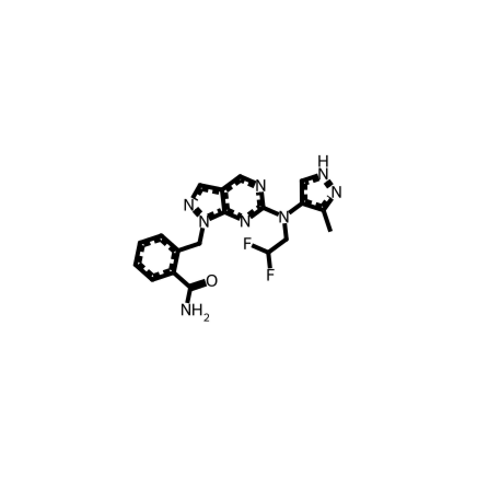 Cc1n[nH]cc1N(CC(F)F)c1ncc2cnn(Cc3ccccc3C(N)=O)c2n1